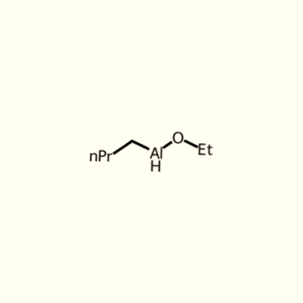 CCC[CH2][AlH][O]CC